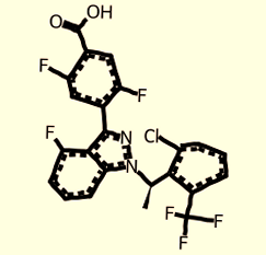 C[C@H](c1c(Cl)cccc1C(F)(F)F)n1nc(-c2cc(F)c(C(=O)O)cc2F)c2c(F)cccc21